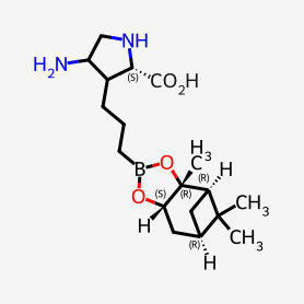 CC1(C)[C@H]2C[C@@H]3OB(CCCC4C(N)CN[C@@H]4C(=O)O)O[C@]3(C)[C@@H]1C2